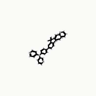 CC1(C)c2cc(-c3ccc(N(c4ccncc4)c4cccnc4)cc3)ccc2-c2cc3cccnc3cc21